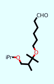 CC(C)OCC(C)C(C)(C)OCCCCCC=O